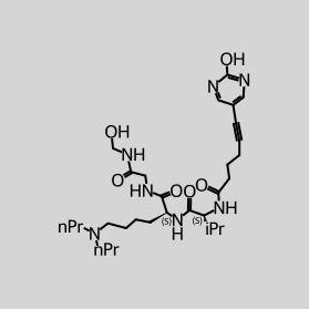 CCCN(CCC)CCCC[C@H](NC(=O)[C@@H](NC(=O)CCCC#Cc1cnc(O)nc1)C(C)C)C(=O)NCC(=O)NCO